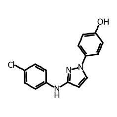 Oc1ccc(-n2ccc(Nc3ccc(Cl)cc3)n2)cc1